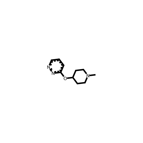 CN1CCC(Oc2cccnn2)CC1